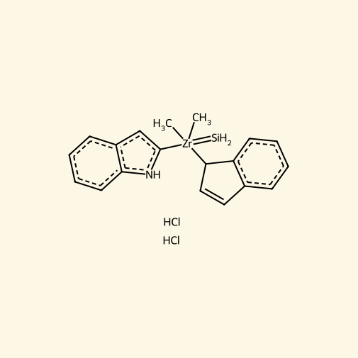 Cl.Cl.[CH3][Zr]([CH3])(=[SiH2])([c]1cc2ccccc2[nH]1)[CH]1C=Cc2ccccc21